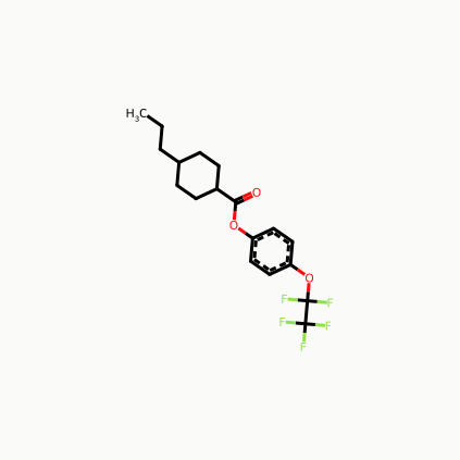 CCCC1CCC(C(=O)Oc2ccc(OC(F)(F)C(F)(F)F)cc2)CC1